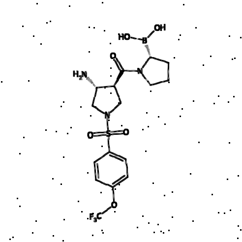 N[C@H]1CN(S(=O)(=O)c2ccc(OC(F)(F)F)cc2)C[C@@H]1C(=O)N1CCC[C@H]1B(O)O